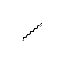 [CH2]OCCCCCCCCC[O]